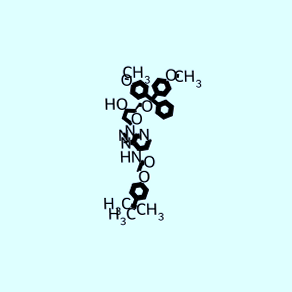 COc1ccc(C(OC[C@H]2O[C@@H](n3nnc4c(NC(=O)COc5ccc(C(C)(C)C)cc5)ccnc43)C[C@@H]2O)(c2ccccc2)c2ccc(OC)cc2)cc1